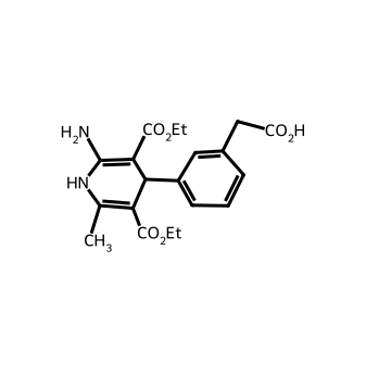 CCOC(=O)C1=C(C)NC(N)=C(C(=O)OCC)C1c1cccc(CC(=O)O)c1